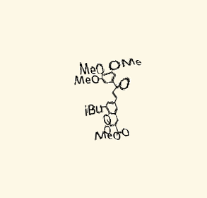 CCC(C)c1cc(/C=C/C(=O)c2cc(OC)c(OC)c(OC)c2)cc2cc(C(=O)OC)c(=O)oc12